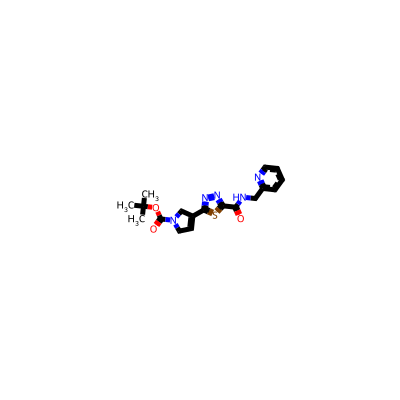 CC(C)(C)OC(=O)N1CC=C(c2nnc(C(=O)NCc3ccccn3)s2)C1